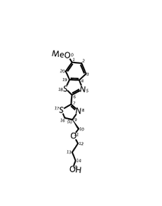 COc1ccc2nc(C3=N[C@@H](COCCCO)CS3)sc2c1